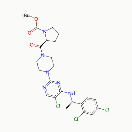 C[C@@H](Nc1nc(N2CCN(C(=O)[C@@H]3CCCN3C(=O)OC(C)(C)C)CC2)ncc1Cl)c1ccc(Cl)cc1Cl